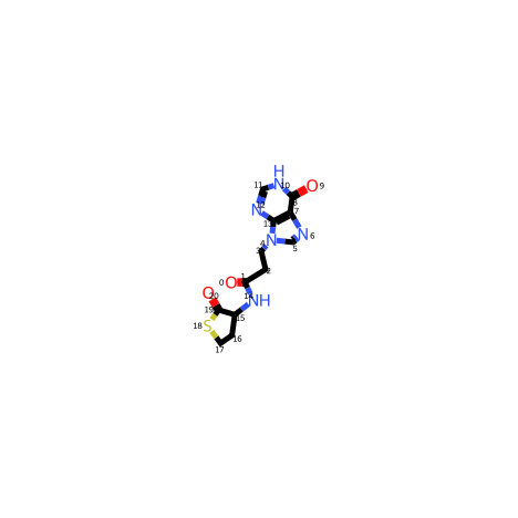 O=C(CCn1cnc2c(=O)[nH]cnc21)NC1CCSC1=O